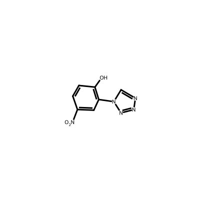 O=[N+]([O-])c1ccc(O)c(-n2cnnn2)c1